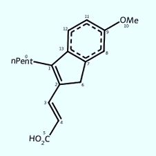 CCCCCC1=C(/C=C/C(=O)O)Cc2cc(OC)ccc21